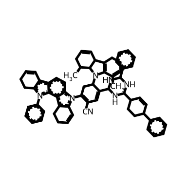 CC1=CCCC2=C1N(C1CC(n3c4c(c5c3ccc3c6c(n(-c7ccccc7)c35)CCC=C6)CCC=C4)=C(C#N)C=C1C1NC(c3ccccc3)NC(C3C=CC(c4ccccc4)CC3)N1)C1C(C)CC=CC21